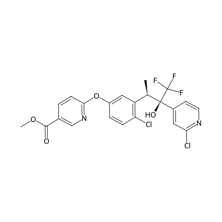 COC(=O)c1ccc(Oc2ccc(Cl)c([C@@H](C)[C@@](O)(c3ccnc(Cl)c3)C(F)(F)F)c2)nc1